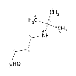 CC(C)(C)NCCCC=O